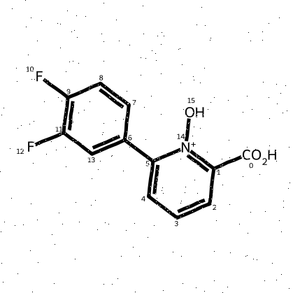 O=C(O)c1cccc(-c2ccc(F)c(F)c2)[n+]1O